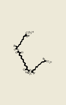 O=C(OC(=O)C(Br)CCCCCCCCC(Br)C(=O)O)C(Cl)CCCCCCCCC(Cl)C(=O)OC(Br)(CCCCCCCCC(Br)C(=O)O)C(=O)O